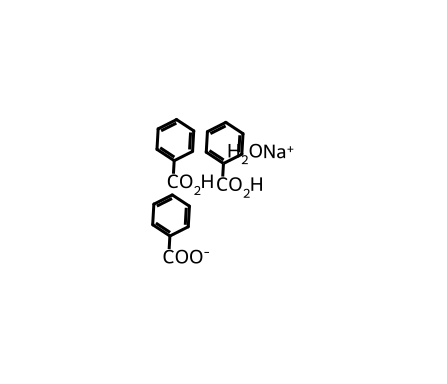 O.O=C(O)c1ccccc1.O=C(O)c1ccccc1.O=C([O-])c1ccccc1.[Na+]